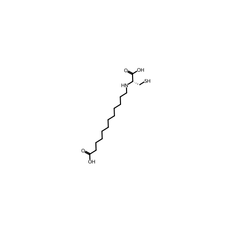 O=C(O)CCCCCCCCCCCN[C@@H](CS)C(=O)O